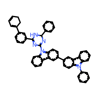 C1=CCCC(c2cccc(C3=NC(n4c5ccccc5c5cc(-c6ccc7c(c6)c6ccccc6n7-c6ccccc6)ccc54)=NC(c4ccccc4)N3)c2)=C1